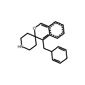 C1=CC(CC2=c3ccccc3=COC23CCNCC3)C=CC1